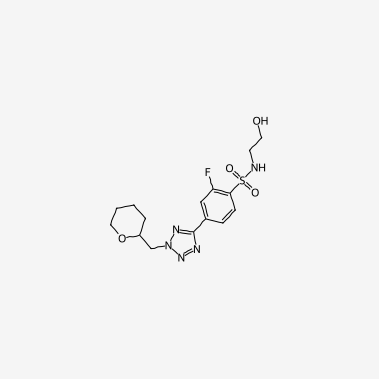 O=S(=O)(NCCO)c1ccc(-c2nnn(CC3CCCCO3)n2)cc1F